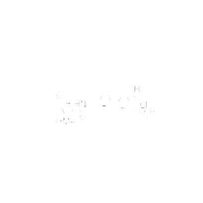 COc1ccc(Cl)cc1C(=O)NCCc1ccc(-c2ccc(C(C)(C)C(=O)O)cc2)cc1